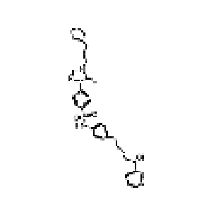 O=c1n(CCCC2CCCC2)cnn1-c1ccc(S(=O)(=O)Nc2ccc(CCNCC(O)c3cccnc3)cc2)cc1